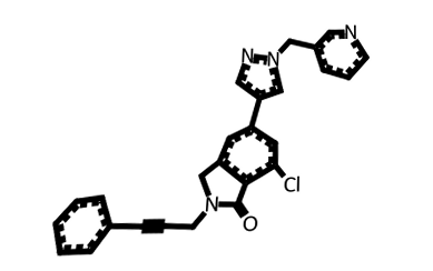 O=C1c2c(Cl)cc(-c3cnn(Cc4cccnc4)c3)cc2CN1CC#Cc1ccccc1